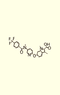 Cc1c(C(=O)O)n(C)c2cc(Oc3ccc(N(C)C(=O)c4ccc(C(F)(F)F)cc4)cn3)ccc12